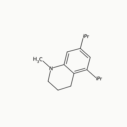 CC(C)c1cc(C(C)C)c2c(c1)N(C)CCC2